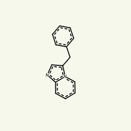 c1ccc(Cc2cnc3ccccn23)cc1